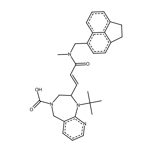 CN(Cc1ccc2c3c(cccc13)CC2)C(=O)/C=C/C1CN(C(=O)O)Cc2cccnc2N1C(C)(C)C